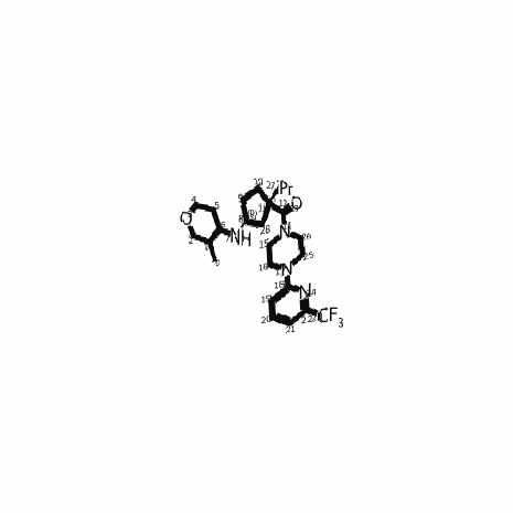 CC1COCCC1N[C@@H]1CC[C@@](C(=O)N2CCN(c3cccc(C(F)(F)F)n3)CC2)(C(C)C)C1